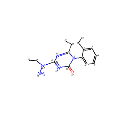 CCc1ccccc1-n1c(CC)nc(N(N)CC)nc1=O